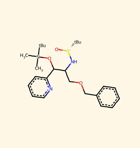 CC(C)(C)[S@@+]([O-])NC(COCc1ccccc1)C(O[Si](C)(C)C(C)(C)C)c1ccccn1